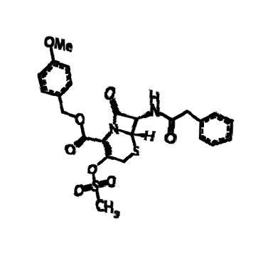 COc1ccc(COC(=O)C2=C(OS(C)(=O)=O)CS[C@H]3[C@H](NC(=O)Cc4ccccc4)C(=O)N23)cc1